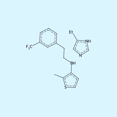 CCc1cnc[nH]1.Cc1sccc1BCCc1cccc(C(F)(F)F)c1